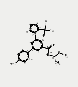 Cc1ccc(-c2cc(C(=O)N[C@@H](C)CO)cc(-n3nccc3C(F)(F)F)c2)nc1